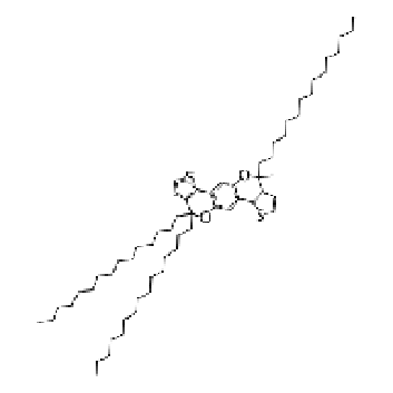 CCCCCCCCCCCCCCCC1(CCCCCCCCCCCCCCC)Oc2cc3c(cc2-c2sccc21)OC(C)(CCCCCCCCCCCCCCC)C1C=CSC31